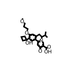 COCCCOc1cc2c(cc1C1(O)CCC1)-c1cc(=O)c(C(=O)O)cn1C(C(C)C)C2